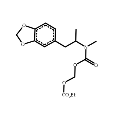 CCOC(=O)OCOC(=O)N(C)C(C)Cc1ccc2c(c1)OCO2